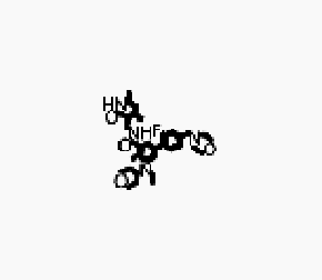 CCN(c1cc(-c2ccc(CN3CCOCC3)cc2F)cc(C(=O)NCc2c(C)cc(C)[nH]c2=O)c1C)C1CCOCC1